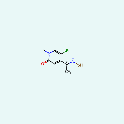 Cn1cc(Br)c([C@@H](NS)C(F)(F)F)cc1=O